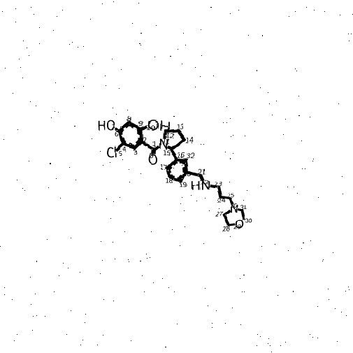 O=C(c1cc(Cl)c(O)cc1O)N1CCCC1c1cccc(CNCCCN2CCOCC2)c1